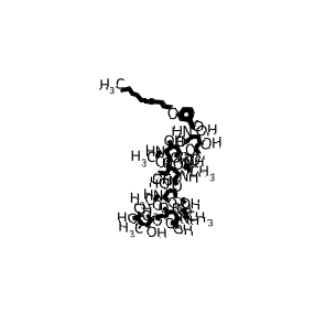 CCCCCCC#CCCCOc1cccc(C(=O)N[C@@H]2C(O[C@H]3C(O)C(NC(C)=O)C(OC4C(CO)OC(O[C@H]5C(O)C(NC(C)=O)C(OC6C(CO[C@@H]7OC(C)C(O)[C@H](C)[C@H]7O)OC(O)C(NC(C)=O)[C@H]6O)O[C@H]5CO)[C@@H](NC(C)=O)[C@H]4O)O[C@H]3CO)OC(CO)[C@@H](O)[C@@H]2O)c1